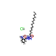 CCCCCCCCCCCCCCCC(=O)[N+](C)(C)NC(=O)c1ccccc1N(C)C.[Cl-]